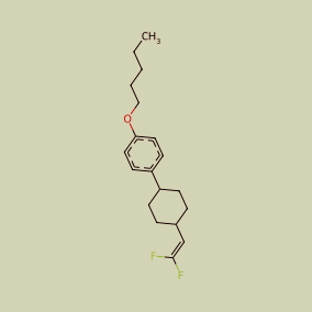 CCCCCOc1ccc(C2CCC(C=C(F)F)CC2)cc1